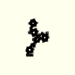 COC1=CCC(CNC(=O)CN(c2cccc(Cl)c2C)S(=O)(=O)C2=CC=C(Oc3ccccc3)NC2)C=C1